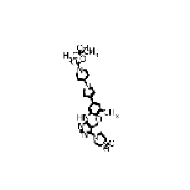 Cc1cc(C2=CCN(C3CCN(C(=O)OC(C)(C)C)CC3)CC2)cc2c1OCc1c(ncnc1N1CCS(=O)(=O)CC1)N2